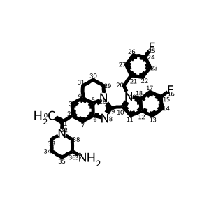 C=C(c1cc2c3c(c1)nc(-c1cc4ccc(F)cc4n1Cc1ccc(F)cc1)n3CCC2)N1CCCC(N)C1